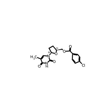 Cc1cn([C@H]2CC[C@@H](COC(=O)c3ccc(Cl)cc3)O2)c(=O)[nH]c1=O